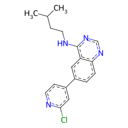 CC(C)CCNc1ncnc2ccc(-c3ccnc(Cl)c3)cc12